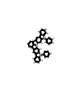 C1=C2c3cccc4c5cc6c7ccccc7n(-c7ccccc7)c6cc5n(c34)C2Cc2c1c1ccccc1n2-c1ccccc1